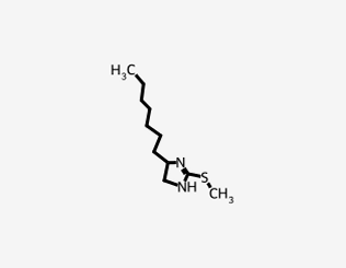 CCCCCCCC1CNC(SC)=N1